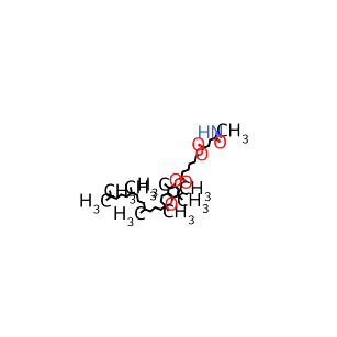 CNC(=O)CCC(=O)OCCCCCC(=O)Oc1c(C)c(C)c2c(c1C)CCC(C)(CCCC(C)CCCC(C)CCCC(C)C)O2